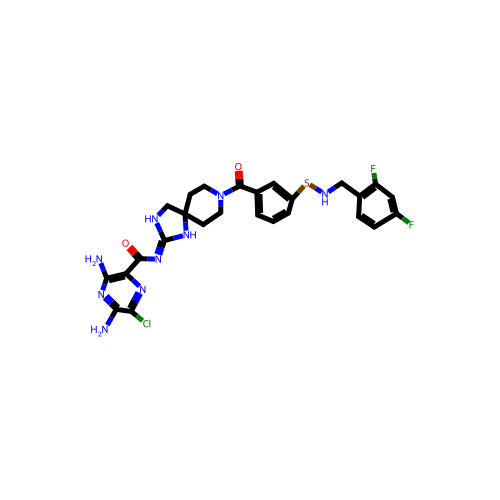 Nc1nc(N)c(C(=O)/N=C2\NCC3(CCN(C(=O)c4cccc(SNCc5ccc(F)cc5F)c4)CC3)N2)nc1Cl